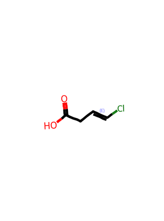 O=C(O)C/C=C/Cl